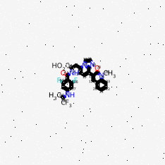 CC(Nc1cc(F)c(C(=O)NC(Cc2ccc(-c3cc4ccccc4n(C)c3=O)c3nccn23)C(=O)O)c(F)c1)C(F)(F)F